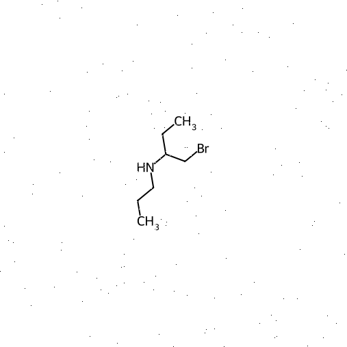 CCCNC(CC)CBr